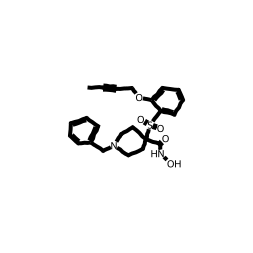 CC#CCOc1ccccc1S(=O)(=O)C1(C(=O)NO)CCN(Cc2ccccc2)CC1